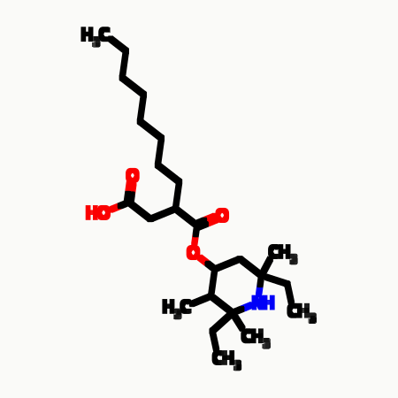 CCCCCCCCC(CC(=O)O)C(=O)OC1CC(C)(CC)NC(C)(CC)C1C